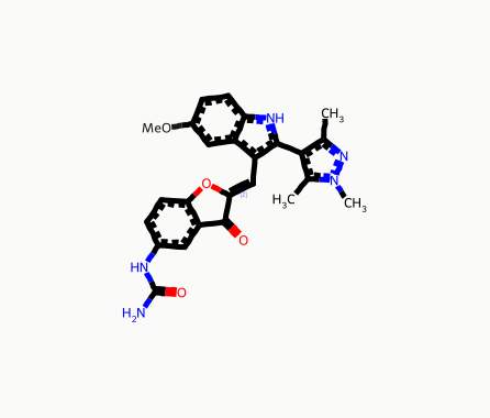 COc1ccc2[nH]c(-c3c(C)nn(C)c3C)c(/C=C3\Oc4ccc(NC(N)=O)cc4C3=O)c2c1